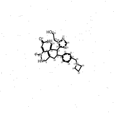 O=C1C=C2C3=C(CNN2F)CC(c2ccc(CN4CCC4)cc2)C(c2ncnn2CCO)C3=CN1